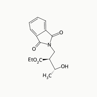 CCOC(=O)[C@@H](CN1C(=O)c2ccccc2C1=O)[C@@H](C)O